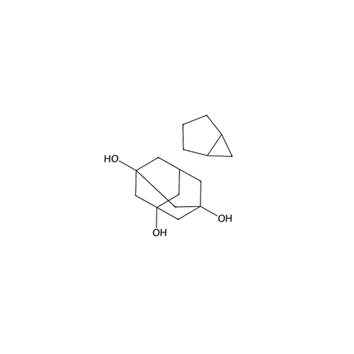 C1CC2CC2C1.OC12CC3CC(O)(C1)CC(O)(C3)C2